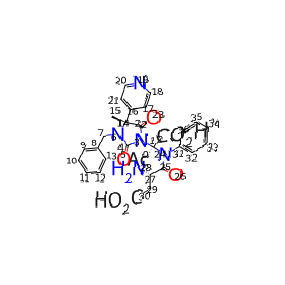 CC(=O)[C@@](C(=O)O)(N1C(=O)N(Cc2ccccc2)[C@](C)(c2ccncc2)C1=O)N(C(=O)[C@@H](N)CC(=O)O)c1ccccc1